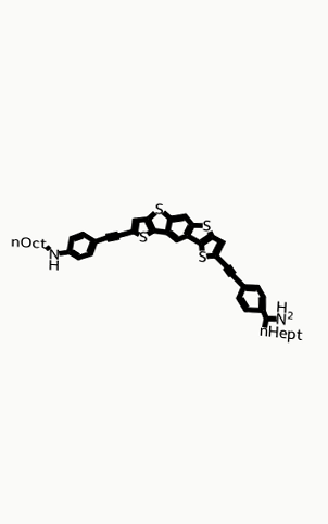 CCCCCCCCNc1ccc(C#Cc2cc3sc4cc5sc6cc(C#Cc7ccc(C(N)CCCCCCC)cc7)sc6c5cc4c3s2)cc1